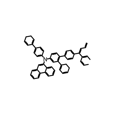 C=C\C=C(C(/C=C\C)=C/C)\c1ccc(-c2ccc(N(c3ccc(C4=CCCC=C4)cc3)c3cc4ccccc4c4ccccc34)cc2C2=CC=CCC2)cc1